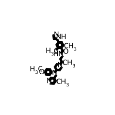 COc1ccc(N(Cc2cnccc2C)C2CCN([C@H](C)CCNC(=O)c3c(C)cc(-c4ccn[nH]4)cc3C)CC2)cc1